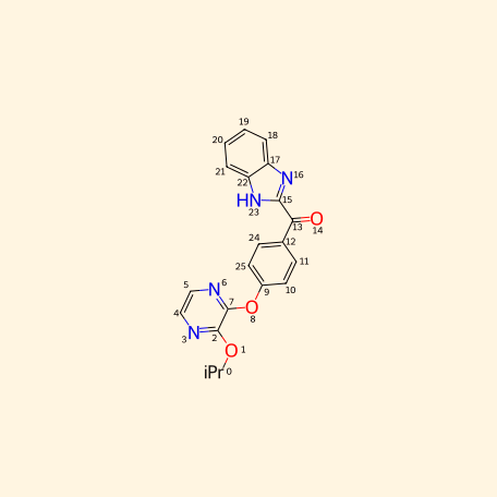 CC(C)Oc1nccnc1Oc1ccc(C(=O)c2nc3ccccc3[nH]2)cc1